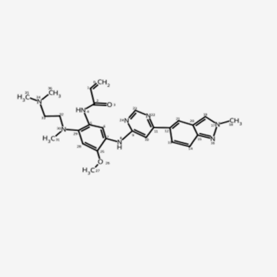 C=CC(=O)Nc1cc(Nc2cc(-c3ccc4nn(C)cc4c3)ncn2)c(OC)cc1N(C)CCN(C)C